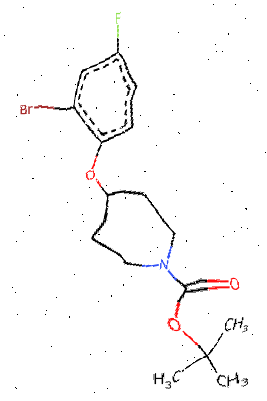 CC(C)(C)OC(=O)N1CCC(Oc2ccc(F)cc2Br)CC1